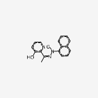 CC(=NN(Cl)c1cccc2ccccc12)c1ncccc1O